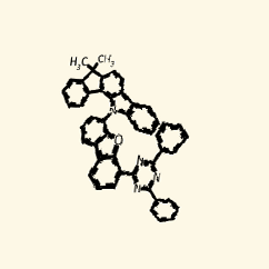 CC1(C)c2ccccc2-c2c1ccc1c3ccccc3n(-c3cccc4c3oc3c(-c5nc(-c6ccccc6)nc(-c6ccccc6)n5)cccc34)c21